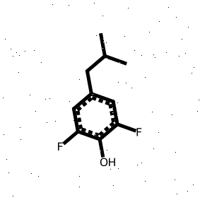 CC(C)Cc1cc(F)c(O)c(F)c1